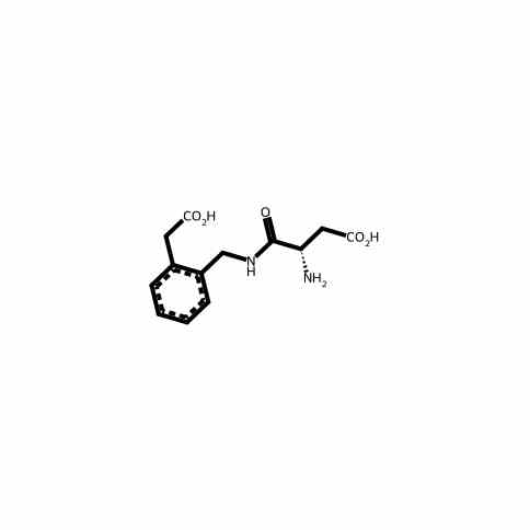 N[C@@H](CC(=O)O)C(=O)NCc1ccccc1CC(=O)O